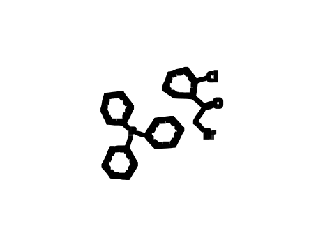 O=C(CBr)c1ccccc1Cl.c1ccc(P(c2ccccc2)c2ccccc2)cc1